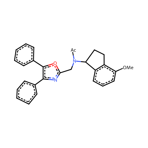 COc1cccc2c1CCC2N(Cc1nc(-c2ccccc2)c(-c2ccccc2)o1)C(C)=O